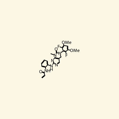 C=CC(=O)Nc1ccccc1Nc1ncc2c(n1)N(C)C(=O)N(c1c(F)c(OC)cc(OC)c1F)C2